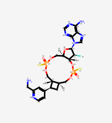 NCc1cc([C@@H]2C[C@@H]3COP(=O)(S)O[C@H]4[C@H](F)[C@H](n5cnc6c(N)ncnc65)O[C@@H]4COP(=O)(S)OC[C@H]32)ccn1